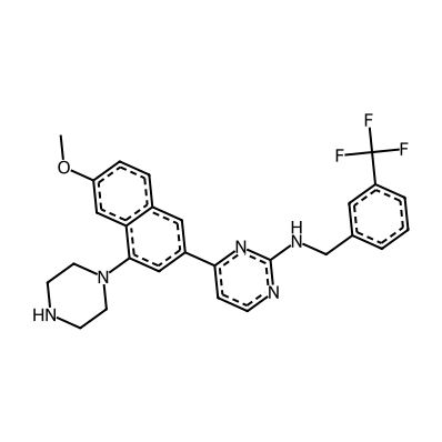 COc1ccc2cc(-c3ccnc(NCc4cccc(C(F)(F)F)c4)n3)cc(N3CCNCC3)c2c1